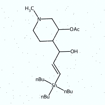 CCC[CH2][Sn](/[CH]=C/C(O)C1CCN(C)CC1OC(C)=O)([CH2]CCC)[CH2]CCC